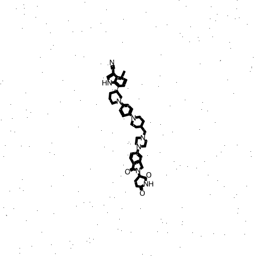 Cc1ccc([C@H]2CCCN(c3ccc(N4CCC(CN5CCN(c6ccc7c(c6)CN(C6CCC(=O)NC6=O)C7=O)CC5)CC4)cc3)C2)c2[nH]cc(C#N)c12